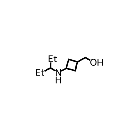 CCC(CC)NC1CC(CO)C1